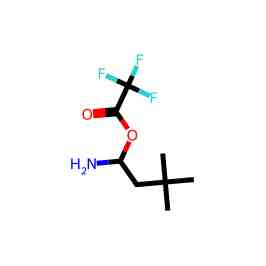 CC(C)(C)CC(N)OC(=O)C(F)(F)F